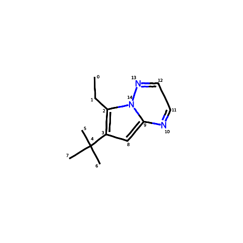 CCc1c(C(C)(C)C)cc2nccnn12